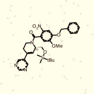 COc1cc(C(=O)N2CCC(c3cncnc3)=C[C@H]2CO[Si](C)(C)C(C)(C)C)c([N+](=O)[O-])cc1OCc1ccccc1